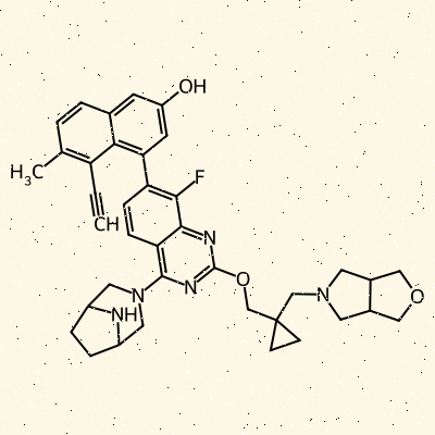 C#Cc1c(C)ccc2cc(O)cc(-c3ccc4c(N5CC6CCC(C5)N6)nc(OCC5(CN6CC7COCC7C6)CC5)nc4c3F)c12